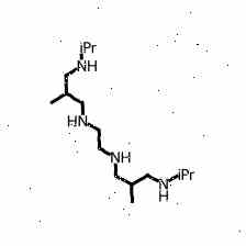 CC(CNCCNCC(C)CNC(C)C)CNC(C)C